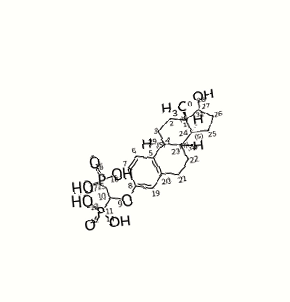 C[C@]12CC[C@@H]3c4ccc(OC(P(=O)(O)O)P(=O)(O)O)cc4CC[C@H]3[C@@H]1CCC2O